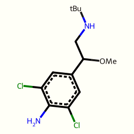 COC(CNC(C)(C)C)c1cc(Cl)c(N)c(Cl)c1